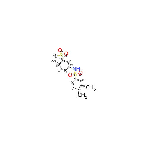 C=C/C=C\C(=C/C=C)S(=O)(=O)Nc1ccc2c(c1)S(=O)(=O)C=C2